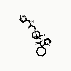 O=C(C[N+]12CCC(CC1)[C@@H](OC(=O)C1(c3cccs3)CCCCCC1)C2)Nc1ccon1